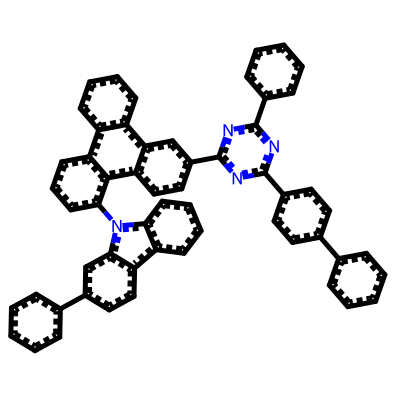 c1ccc(-c2ccc(-c3nc(-c4ccccc4)nc(-c4ccc5c(c4)c4ccccc4c4cccc(-n6c7ccccc7c7ccc(-c8ccccc8)cc76)c45)n3)cc2)cc1